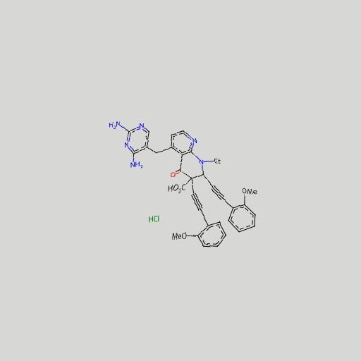 CCN1c2nccc(Cc3cnc(N)nc3N)c2C(=O)C(C#Cc2ccccc2OC)(C(=O)O)C1C#Cc1ccccc1OC.Cl